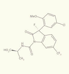 COc1ccc(Cl)cc1[C@]1(F)C(=O)N(C(=O)N[C@@H](C)C(=O)O)c2cc(C(F)(F)F)ccc21